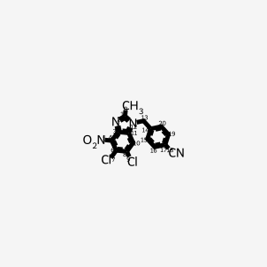 Cc1nc2c([N+](=O)[O-])c(Cl)c(Cl)cc2n1Cc1ccc(C#N)cc1